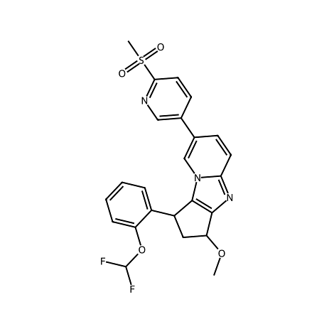 COC1CC(c2ccccc2OC(F)F)c2c1nc1ccc(-c3ccc(S(C)(=O)=O)nc3)cn21